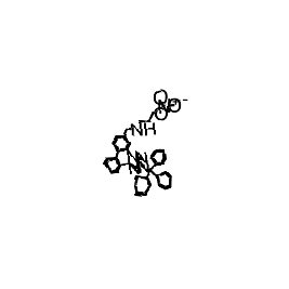 O=[N+]([O-])OCCCNCc1ccc(-c2ccccc2-c2nnn(C(c3ccccc3)(c3ccccc3)c3ccccc3)n2)cc1